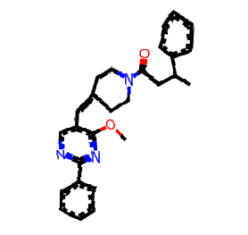 COc1nc(-c2ccccc2)ncc1C=C1CCN(C(=O)CC(C)c2ccccc2)CC1